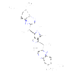 Bn1c(C)c2/c(=C(\C#N)c3cnc4cc(OC)c(OC)cc4n3)n(B)c(C)c2/c1=C(\C#N)c1cnc2cc(OC)c(OC)cc2n1